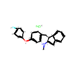 CN[C@@H]1Cc2ccccc2[C@@H]1Cc1ccc(Oc2ccc(F)cc2)cc1.Cl